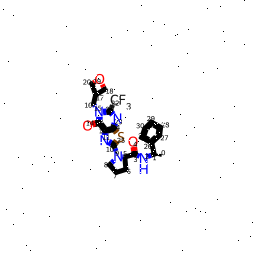 C[C@@H](NC(=O)C1CCCN1c1nc2c(=O)n(CC3COC3)c(C(F)(F)F)nc2s1)c1ccccc1